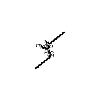 [2H]C(CCCCCCCCCCC)OC(=O)CC[C@H](NC(=O)C[N+](C)(C)C)C(=O)OC([2H])CCCCCCCCCCC.[Cl-]